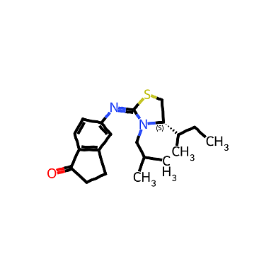 CCC(C)[C@H]1CSC(=Nc2ccc3c(c2)CCC3=O)N1CC(C)C